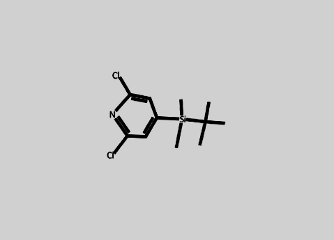 CC(C)(C)[Si](C)(C)c1cc(Cl)nc(Cl)c1